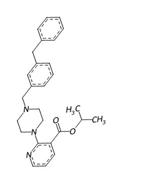 CC(C)OC(=O)c1cccnc1N1CCN(Cc2cccc(Cc3ccccc3)c2)CC1